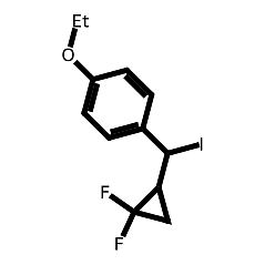 CCOc1ccc(C(I)C2CC2(F)F)cc1